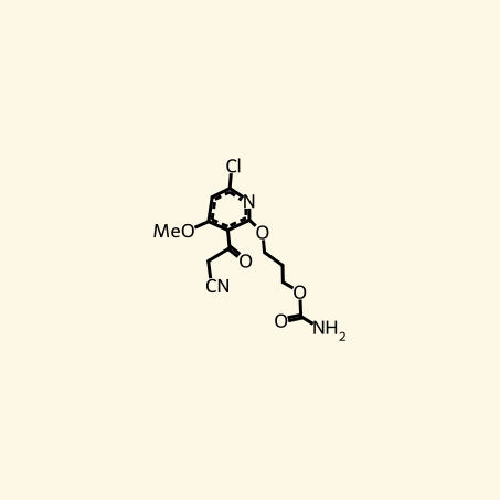 COc1cc(Cl)nc(OCCCOC(N)=O)c1C(=O)CC#N